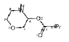 CC(C)C(=O)OC1COCCN1